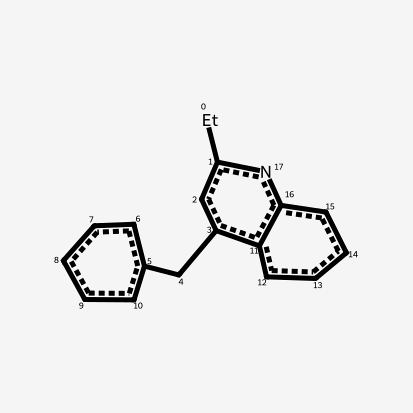 CCc1cc(Cc2cc[c]cc2)c2ccccc2n1